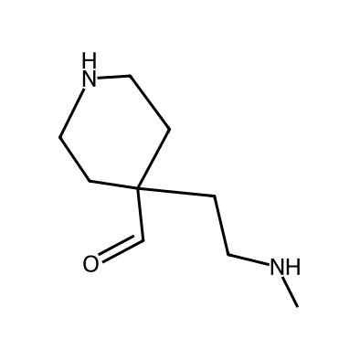 CNCCC1(C=O)CCNCC1